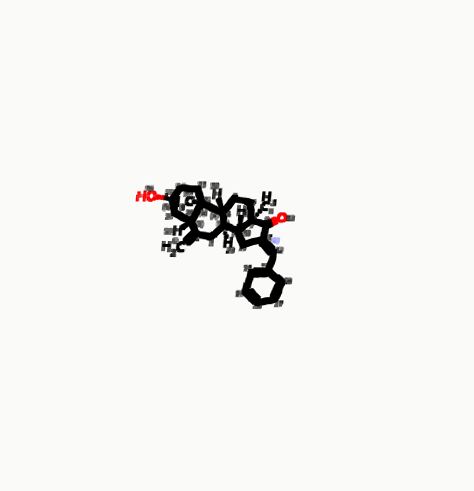 C=C1C[C@H]2[C@@H](CC[C@@]3(C)C(=O)/C(=C/c4ccccc4)C[C@H]23)[C@]2(C)CC[C@H](O)C[C@@H]12